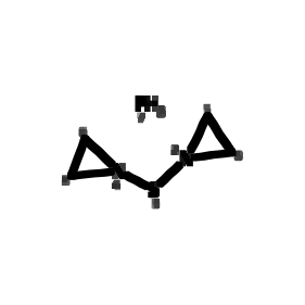 C1CN1SN1CC1.P